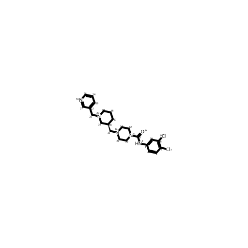 O=C(Nc1ccc(Cl)c(Cl)c1)N1CCN(C[C@@H]2CCCN(Cc3cccnc3)C2)CC1